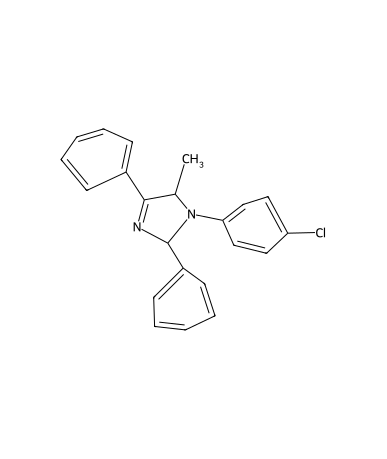 CC1C(c2ccccc2)=NC(c2ccccc2)N1c1ccc(Cl)cc1